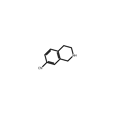 [C-]#[N+]c1ccc2c(c1)CNCC2